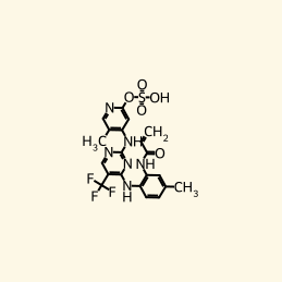 C=CC(=O)Nc1cc(C)ccc1Nc1nc(Nc2cc(OS(=O)(=O)O)ncc2C)ncc1C(F)(F)F